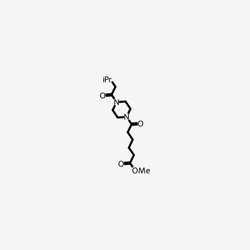 COC(=O)CCCCC(=O)N1CCN(C(=O)CC(C)C)CC1